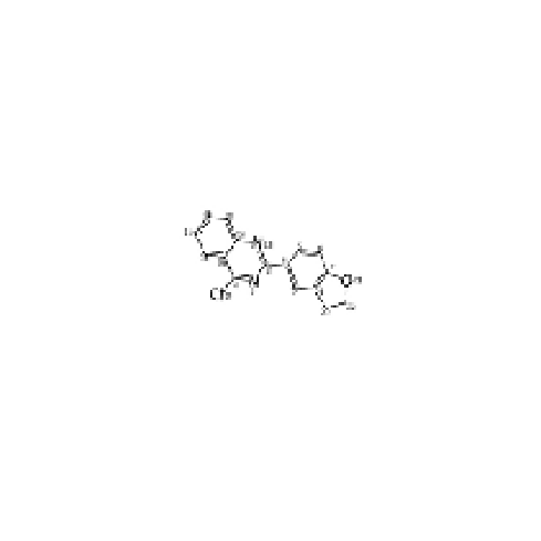 Clc1nc(-c2ccc3c(c2)CCO3)nc2ccccc12